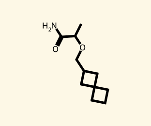 CC(OCC1CC2(CCC2)C1)C(N)=O